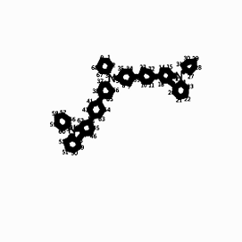 c1ccc(N(c2ccc(-c3ccc(-c4ccc5c(c4)c4ccccc4n5-c4ccccc4)cc3)cc2)c2ccc(-c3ccc(-c4ccc5c6ccccc6n(-c6ccccc6)c5c4)cc3)cc2)cc1